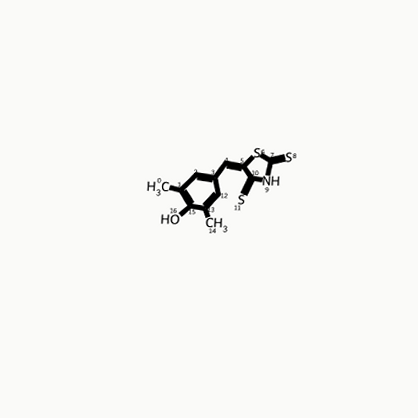 Cc1cc(C=C2SC(=S)NC2=S)cc(C)c1O